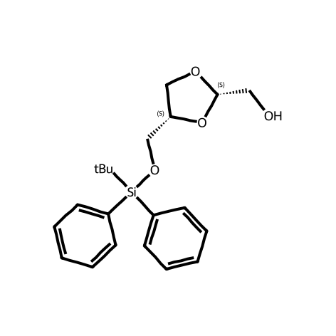 CC(C)(C)[Si](OC[C@@H]1CO[C@H](CO)O1)(c1ccccc1)c1ccccc1